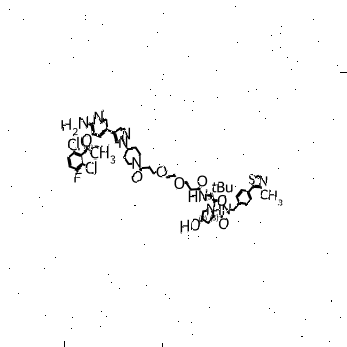 Cc1ncsc1-c1ccc(CNC(=O)[C@@H]2C[C@@H](O)CN2C(=O)[C@@H](NC(=O)CCOCCOCCC(=O)N2CCC(n3cc(-c4cnc(N)c(O[C@H](C)c5c(Cl)ccc(F)c5Cl)c4)cn3)CC2)C(C)(C)C)cc1